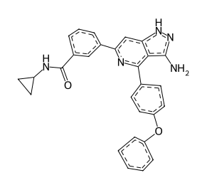 Nc1n[nH]c2cc(-c3cccc(C(=O)NC4CC4)c3)nc(-c3ccc(Oc4ccccc4)cc3)c12